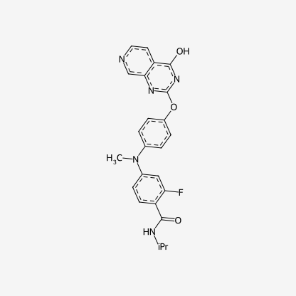 CC(C)NC(=O)c1ccc(N(C)c2ccc(Oc3nc(O)c4ccncc4n3)cc2)cc1F